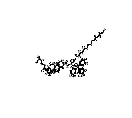 CCCCCCCCCCCCCCCCOC(CO[C@H]1CC[C@@]2(C)C(=CC[C@H]3[C@@H]4CC[C@H]([C@H](C)CCCC(C)C)[C@@]4(C)CC[C@@H]32)C1)COC(c1ccccc1)(c1ccccc1)c1ccccc1